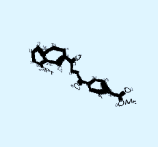 COC(=O)c1ccc(C(=O)CCC(=O)c2ccc3cccc(C(C)C)c3c2)cc1